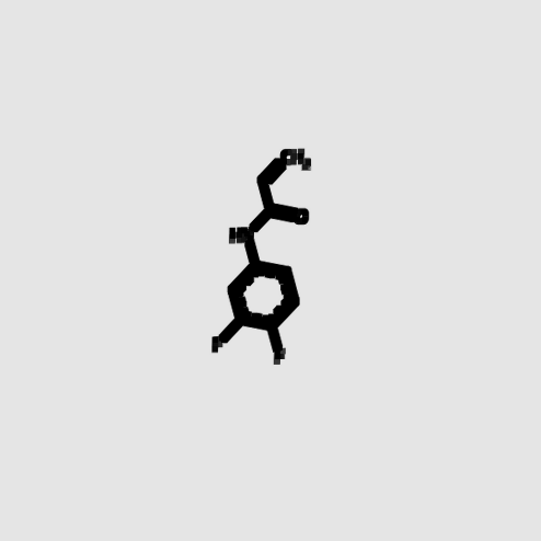 C=CC(=O)Nc1ccc(F)c(F)c1